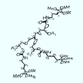 CO[Si](CCCNC(=O)OC(C)COCC(COCC(C)OC(=O)NCCC[Si](OC)(OC)OC)OCC(C)OC(=O)NCCC[Si](OC)(OC)OC)(OC)OC